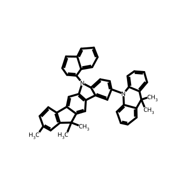 Cc1ccc2c(c1)C(C)(C)c1cc3c4cc(N5c6ccccc6C(C)(C)c6ccccc65)ccc4n(-c4cccc5ccccc45)c3cc1-2